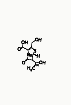 C[C@H](O)C1C(=O)N2C(C(=O)O)=C(CO)S[C@H]12